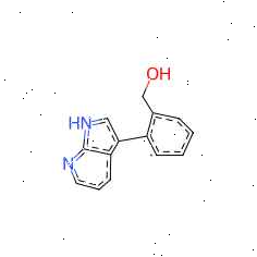 OCc1ccc[c]c1-c1c[nH]c2ncccc12